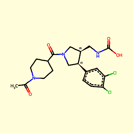 CC(=O)N1CCC(C(=O)N2C[C@@H](CNC(=O)O)[C@@H](c3ccc(Cl)c(Cl)c3)C2)CC1